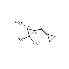 CC1(C)[C@H](C=C2CC2)[C@H]1C(=O)O